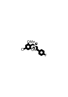 COc1cc(Cl)cc(OC)c1CS(=O)(=O)C=Cc1ccc(F)cc1